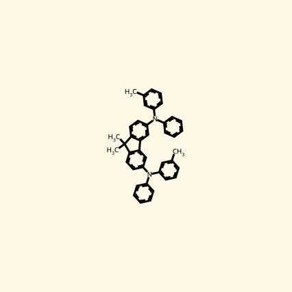 Cc1cccc(N(c2ccccc2)c2ccc3c(c2)-c2cc(N(c4ccccc4)c4cccc(C)c4)ccc2C3(C)C)c1